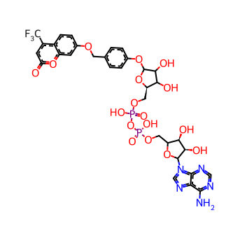 Nc1ncnc2c1ncn2C1OC(COP(=O)(O)OP(=O)(O)OC[C@H]2OC(Oc3ccc(COc4ccc5c(C(F)(F)F)cc(=O)oc5c4)cc3)C(O)C2O)[C@@H](O)[C@H]1O